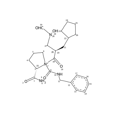 NC(=O)[C@@H]1CCC[N+]1(C(=O)NCc1ccccc1)C(=O)[C@H](CC1CCCC1)CN(O)C=O